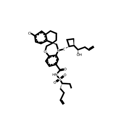 C=CCC[C@@H](CC)S(=O)(=O)NC(=O)c1ccc2c(c1)N(C[C@@H]1CC[C@H]1[C@@H](O)CC=C)C[C@@]1(CCCc3cc(Cl)ccc31)CO2